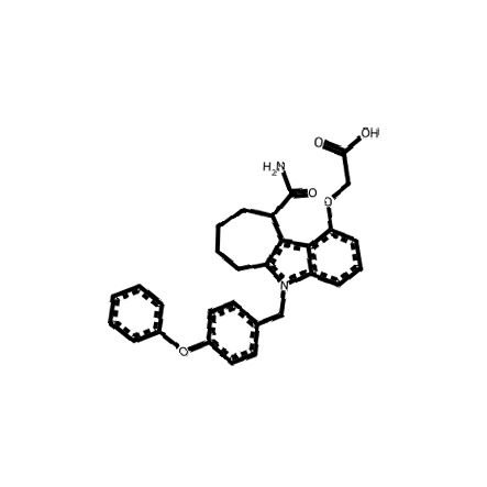 NC(=O)C1CCCCc2c1c1c(OCC(=O)O)cccc1n2Cc1ccc(Oc2ccccc2)cc1